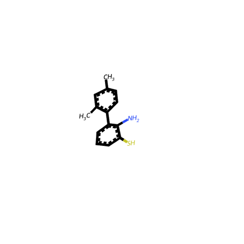 Cc1ccc(-c2cccc(S)c2N)c(C)c1